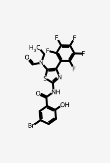 CCN(C=O)c1sc(NC(=O)c2cc(Br)ccc2O)nc1-c1c(F)c(F)c(F)c(F)c1F